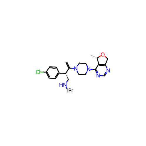 C=C([C@H](CNC(C)C)c1ccc(Cl)cc1)N1CCN(c2ncnc3c2[C@H](C)OC3)CC1